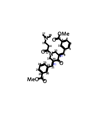 COC(=O)c1cccc(/C=C2\CN(C(=O)CCN(C)C)C/C(=C\c3cccc(C(=O)OC)c3)C2=O)c1